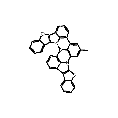 Cc1cc2c3c(c1)-n1c4sc5ccccc5c4c4cccc(c41)B3n1c3c-2cccc3c2oc3ccccc3c21